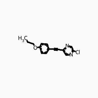 CCCOc1ccc(C#Cc2cnc(Cl)cn2)cc1